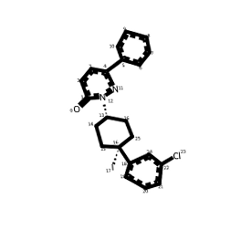 O=c1ccc(-c2ccccc2)nn1[C@H]1CC[C@](I)(c2cccc(Cl)c2)CC1